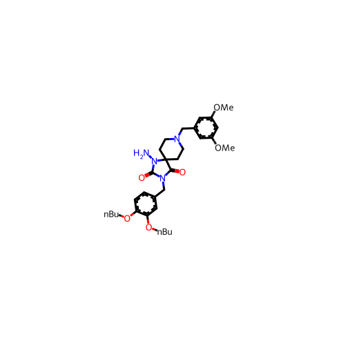 CCCCOc1ccc(CN2C(=O)N(N)C3(CCN(Cc4cc(OC)cc(OC)c4)CC3)C2=O)cc1OCCCC